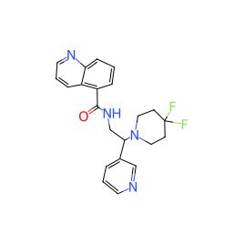 O=C(NCC(c1cccnc1)N1CCC(F)(F)CC1)c1cccc2ncccc12